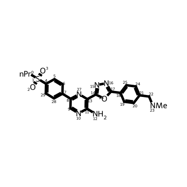 CCCS(=O)(=O)c1ccc(-c2cnc(N)c(-c3nnc(-c4ccc(CNC)cc4)o3)n2)cc1